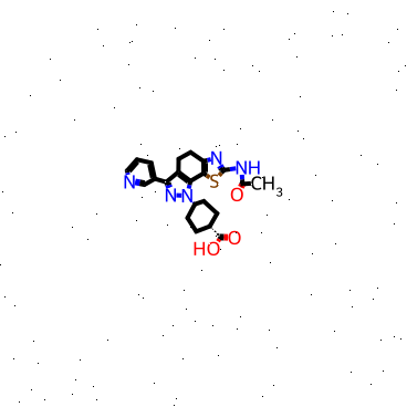 CC(=O)Nc1nc2c(s1)-c1c(c(-c3cccnc3)nn1[C@H]1CC[C@@H](C(=O)O)CC1)CC2